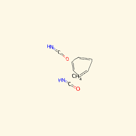 C.N=C=O.N=C=O.c1ccccc1